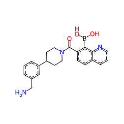 NCc1cccc(C2CCN(C(=O)c3ccc4cccnc4c3B(O)O)CC2)c1